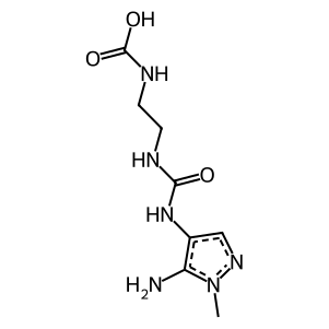 Cn1ncc(NC(=O)NCCNC(=O)O)c1N